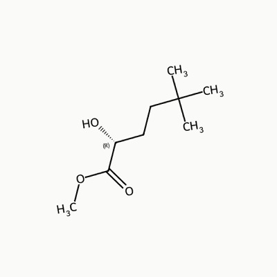 COC(=O)[C@H](O)CCC(C)(C)C